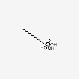 CCCCCCCCCCCCCCCc1cc(C(C)C)c(O)c(O)c1O